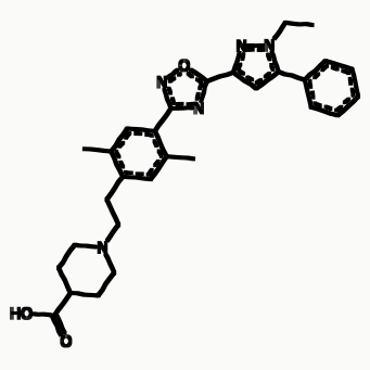 CCn1nc(-c2nc(-c3cc(C)c(CCN4CCC(C(=O)O)CC4)cc3C)no2)cc1-c1ccccc1